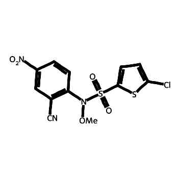 CON(c1ccc([N+](=O)[O-])cc1C#N)S(=O)(=O)c1ccc(Cl)s1